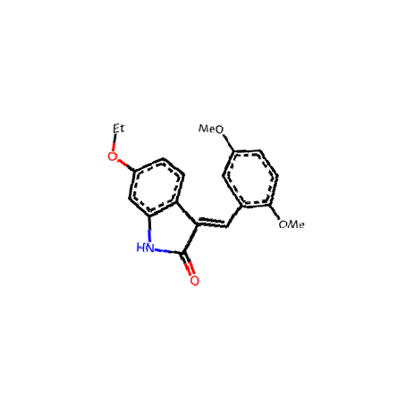 CCOc1ccc2c(c1)NC(=O)/C2=C/c1cc(OC)ccc1OC